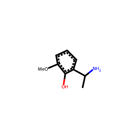 COc1cccc(C(C)N)c1O